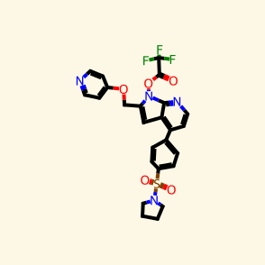 O=C(On1c(COc2ccncc2)cc2c(-c3ccc(S(=O)(=O)N4CCCC4)cc3)ccnc21)C(F)(F)F